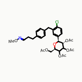 CON=CCCc1ccc(Cc2cc([C@@H]3O[C@H](COC(C)=O)C(OC(C)=O)C(OC(C)=O)[C@H]3OC(C)=O)ccc2Cl)cc1